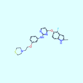 Cc1cc2c(F)c(Oc3ccnc(Nc4cccc(OCCN5CCSCC5)c4)n3)ccc2[nH]1